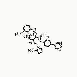 Cc1cccc(Cl)c1S(=O)(=O)NC(CCn1cccc1C#N)C(=O)N(C)Cc1ccc(-c2cncnc2)cc1